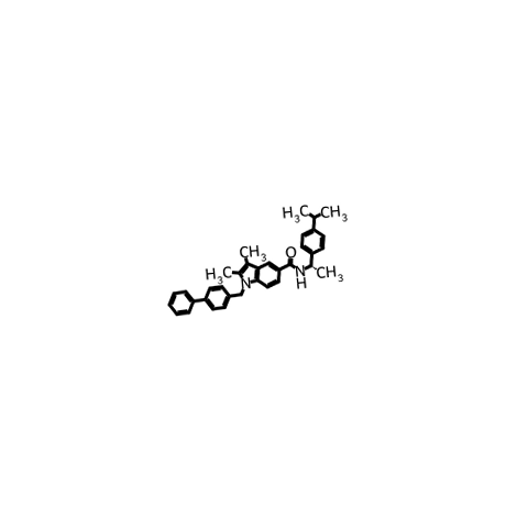 Cc1c(C)n(Cc2ccc(-c3ccccc3)cc2)c2ccc(C(=O)N[C@@H](C)c3ccc(C(C)C)cc3)cc12